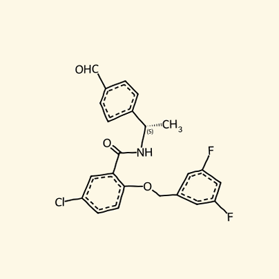 C[C@H](NC(=O)c1cc(Cl)ccc1OCc1cc(F)cc(F)c1)c1ccc(C=O)cc1